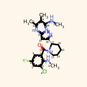 CNc1c(Cl)cc(F)cc1C(=O)N1CCCC[C@H]1c1cc2nc(C)c(C)c(NC)n2n1